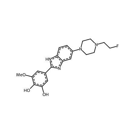 COc1cc(-c2nc3cc(N4CCN(CCF)CC4)ccc3[nH]2)cc(O)c1O